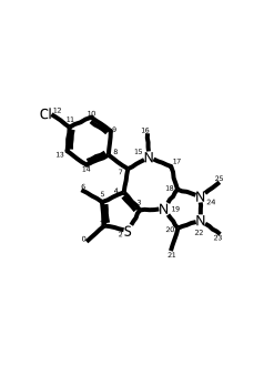 Cc1sc2c(c1C)C(c1ccc(Cl)cc1)N(C)CC1N2C(C)N(C)N1C